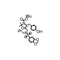 CC(C)CN(C[C@H]1OC(C)(C)N(C(=O)OC(C)(C)C)[C@H]1Cc1ccc(O)cc1)S(=O)(=O)c1ccc2c(c1)OCO2